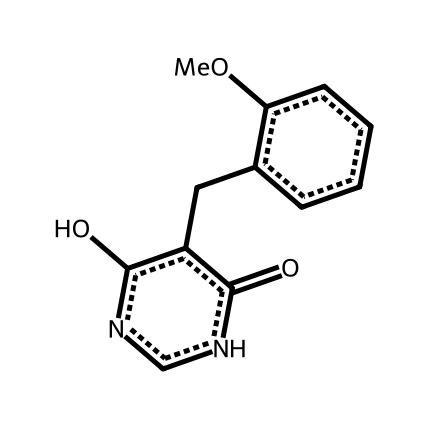 COc1ccccc1Cc1c(O)nc[nH]c1=O